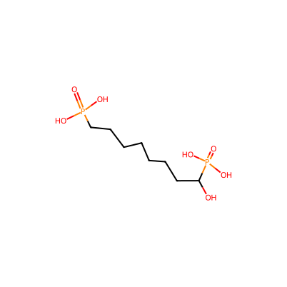 O=P(O)(O)CCCCCCCC(O)P(=O)(O)O